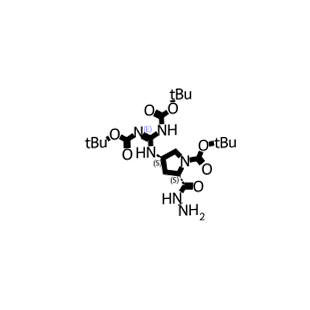 CC(C)(C)OC(=O)/N=C(/NC(=O)OC(C)(C)C)N[C@H]1C[C@@H](C(=O)NN)N(C(=O)OC(C)(C)C)C1